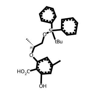 Cc1cc(O)c(C(=O)O)c(O[C@H](C)CO[Si](c2ccccc2)(c2ccccc2)C(C)(C)C)c1